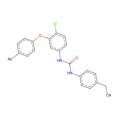 N#CCc1ccc(NC(=O)Nc2ccc(Cl)c(Oc3ccc(C#N)cc3)c2)cc1